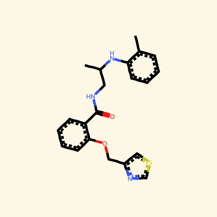 Cc1ccccc1NC(C)CNC(=O)c1ccccc1OCc1cscn1